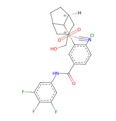 N#C[C@]1(CO)CC2CC[C@@H](C1)C2S(=O)(=O)c1cc(C(=O)Nc2cc(F)c(F)c(F)c2)ccc1Cl